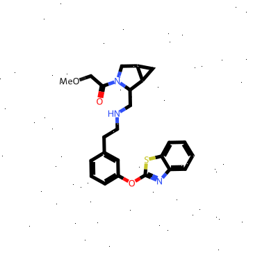 COCC(=O)N1CC2CC2C1CNCCc1cccc(Oc2nc3ccccc3s2)c1